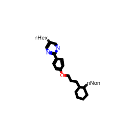 CCCCCCCCCC1CCCCC1CCCOc1ccc(-c2ncc(CCCCCC)cn2)cc1